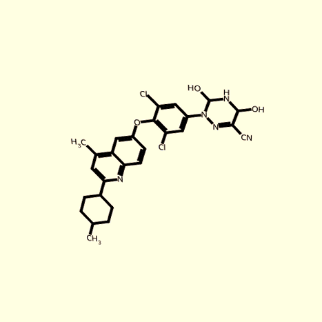 Cc1cc(C2CCC(C)CC2)nc2ccc(Oc3c(Cl)cc(N4N=C(C#N)C(O)NC4O)cc3Cl)cc12